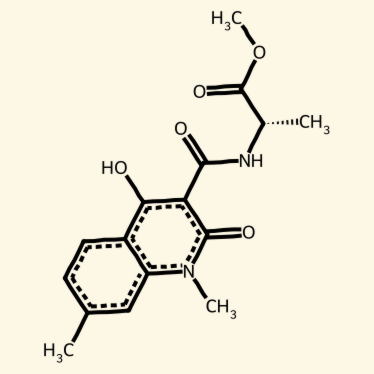 COC(=O)[C@H](C)NC(=O)c1c(O)c2ccc(C)cc2n(C)c1=O